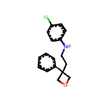 Clc1ccc(NCCC2(c3ccccc3)COC2)cc1